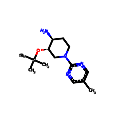 Cc1cnc(N2CC[C@H](N)[C@@H](O[Si](C)(C)C(C)(C)C)C2)nc1